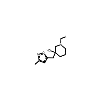 Cc1cc(CC2(O)CCCN(CI)C2)on1